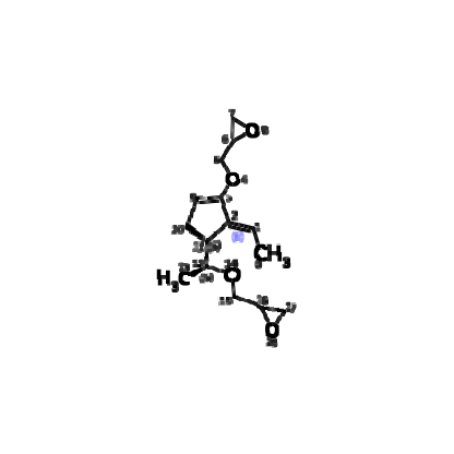 C/C=C1/C(OCC2CO2)=CC[C@@H]1[C@H](C)OCC1CO1